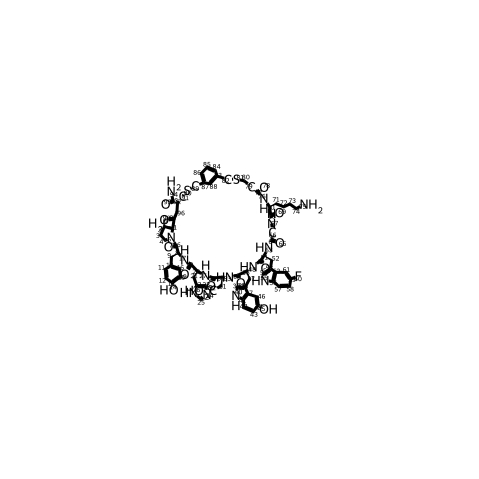 C[C@@]12CCCN1C(=O)[C@H](Cc1ccc(O)cc1)NC(=O)[C@H](Cc1cnc[nH]1)NC(=O)[C@H](CC(=O)O)NC(=O)[C@H](Cc1c[nH]c3ccc(O)cc13)NC(=O)[C@H](Cc1c[nH]c3ccc(F)cc13)NC(=O)CNC(=O)[C@H](CCCCN)NC(=O)CCSCc1cccc(c1)CSC[C@@H](C(N)=O)CC2=O